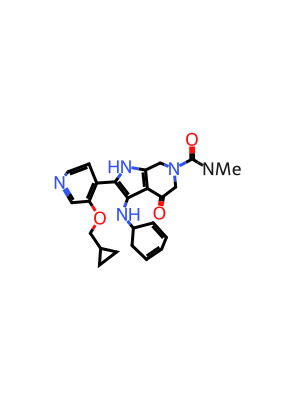 CNC(=O)N1CC(=O)c2c([nH]c(-c3ccncc3OCC3CC3)c2NC2C=CC=CC2)C1